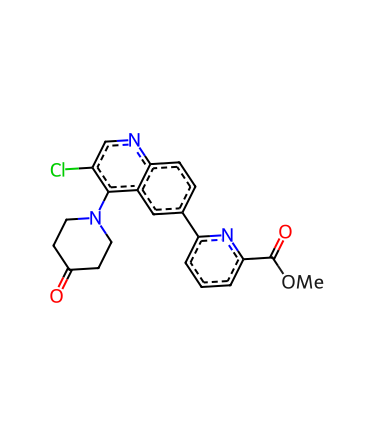 COC(=O)c1cccc(-c2ccc3ncc(Cl)c(N4CCC(=O)CC4)c3c2)n1